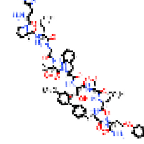 CCc1cc(OC)ccc1-c1ccc(C[C@H](NC(=O)[C@H](CC(=O)O)NC(=O)[C@H](CO)NC(=O)[C@@H](NC(=O)[C@](C)(Cc2ccccc2F)NC(=O)[C@@H](NC(=O)CNC(=O)[C@H](CCC(=O)O)NC(=O)[C@]2(C)CCCN2C(=O)[C@@H](N)Cc2c[nH]cn2)[C@@H](C)O)[C@@H](C)O)C(=O)N[C@@H](CCOc2ccccc2)C(N)=O)cc1